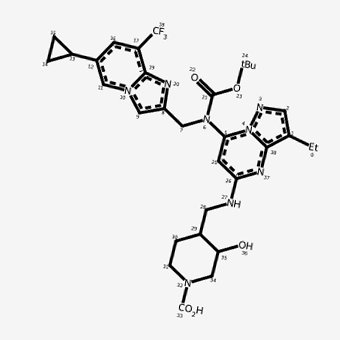 CCc1cnn2c(N(Cc3cn4cc(C5CC5)cc(C(F)(F)F)c4n3)C(=O)OC(C)(C)C)cc(NCC3CCN(C(=O)O)CC3O)nc12